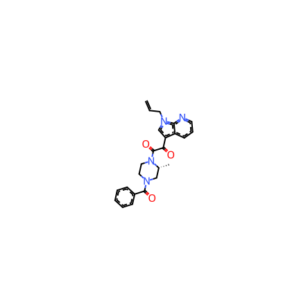 C=CCn1cc(C(=O)C(=O)N2CCN(C(=O)c3ccccc3)C[C@H]2C)c2cccnc21